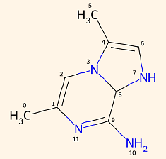 CC1=CN2C(C)=CNC2C(N)=N1